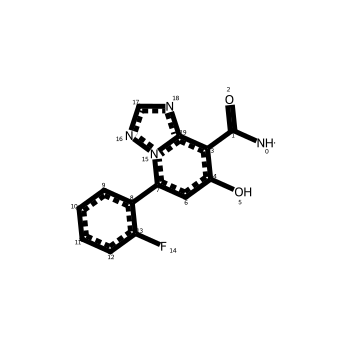 [NH]C(=O)c1c(O)cc(-c2ccccc2F)n2ncnc12